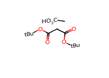 CC(=O)O.CC(C)(C)OC(=O)CC(=O)OC(C)(C)C